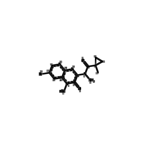 CCCCn1c(=O)c(N(N)C(=O)C2(C)CC2)nc2ncc(Br)cc21